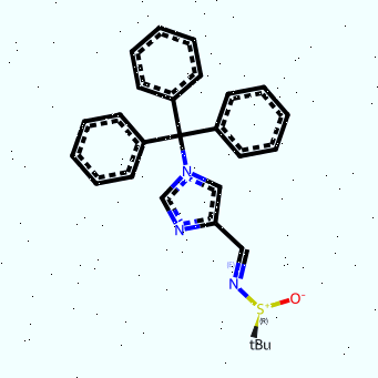 CC(C)(C)[S@+]([O-])/N=C/c1cn(C(c2ccccc2)(c2ccccc2)c2ccccc2)cn1